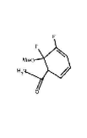 COC1(F)C(F)=CC=CC1C(N)=O